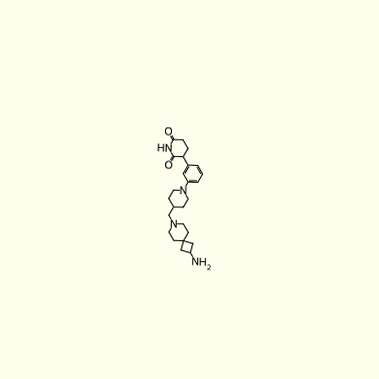 NC1CC2(CCN(CC3CCN(c4cccc(C5CCC(=O)NC5=O)c4)CC3)CC2)C1